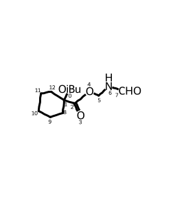 CC(C)COC1(C(=O)OCNC=O)CCCCC1